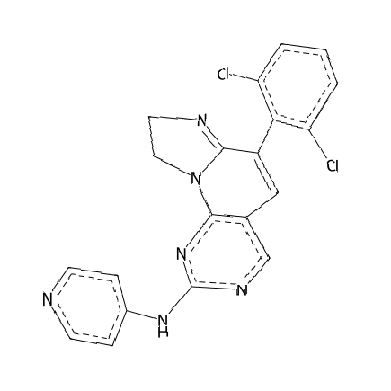 Clc1cccc(Cl)c1C1=Cc2cnc(Nc3ccncc3)nc2N2CCN=C12